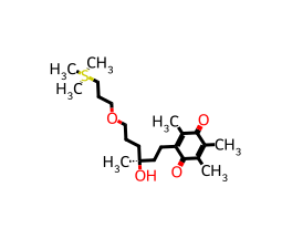 CC1=C(C)C(=O)C(CC[C@@](C)(O)CCCOCCCS(C)(C)C)=C(C)C1=O